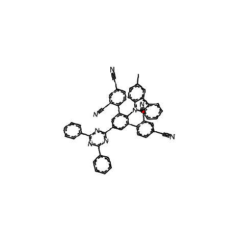 Cc1ccc2c(c1)c1ccccc1n2-c1c(-c2ccc(C#N)cc2C#N)cc(-c2nc(-c3ccccc3)nc(-c3ccccc3)n2)cc1-c1ccc(C#N)cc1C#N